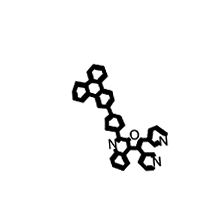 c1cncc(C2=C(c3cccnc3)C3c4ccccc4N=C(c4ccc(-c5ccc6c7ccccc7c7ccccc7c6c5)cc4)C3O2)c1